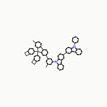 Cc1cc(-c2ccc3c(c2)C(c2ccc4c(c2)CC4)(c2ccc4c(c2)CC4)c2cc(C)ccc2-3)cc(-n2c3ccccc3c3cc(-c4ccc5c(c4)c4ccccc4n5-c4ccccc4)ccc32)c1